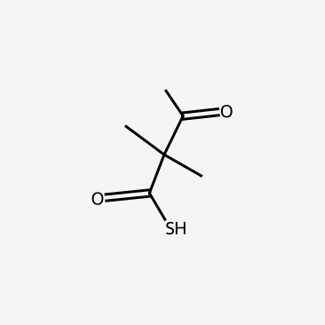 CC(=O)C(C)(C)C(=O)S